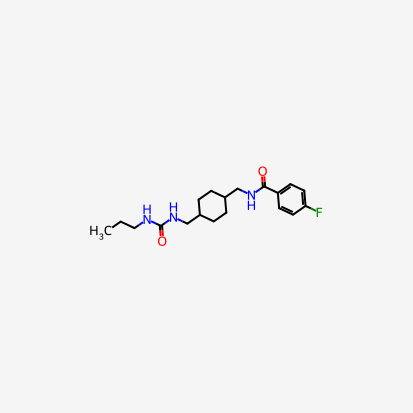 CCCNC(=O)NCC1CCC(CNC(=O)c2ccc(F)cc2)CC1